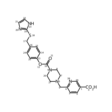 O=C(O)c1ccc(CN2CCN(C(=O)Oc3ccc(CSc4ncc[nH]4)cc3)CC2)nc1